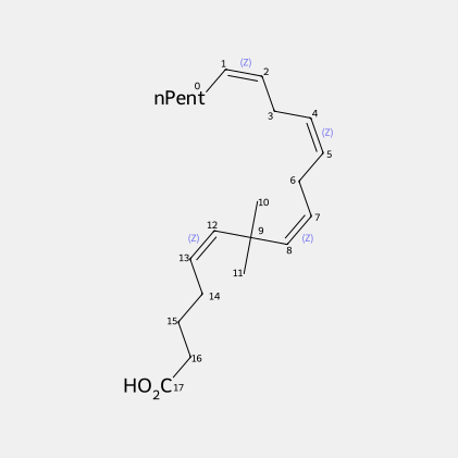 CCCCC/C=C\C/C=C\C/C=C\C(C)(C)/C=C\CCCC(=O)O